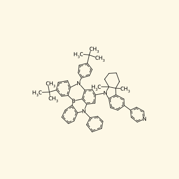 CC(C)(C)c1ccc(N2c3ccc(C(C)(C)C)cc3B3c4ccccc4N(c4ccccc4)c4cc(N5c6ccc(-c7ccncc7)cc6C6(C)CCCCC56C)cc2c43)cc1